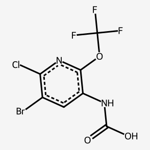 O=C(O)Nc1cc(Br)c(Cl)nc1OC(F)(F)F